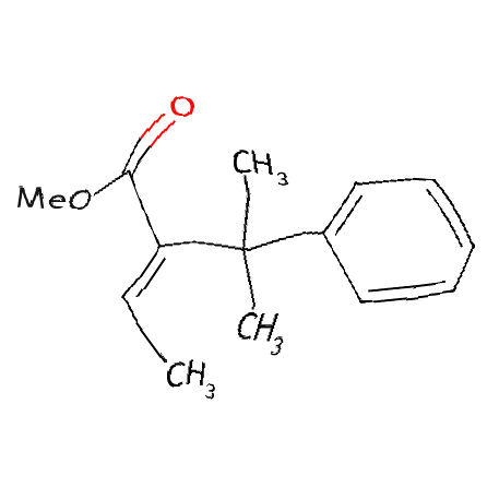 C/C=C(/C(=O)OC)C(C)(C)c1ccccc1